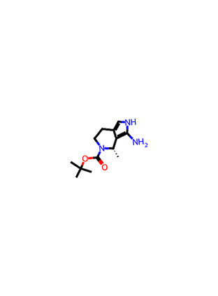 C[C@H]1c2c(c[nH]c2N)CCN1C(=O)OC(C)(C)C